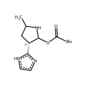 CC1C[C@@H](c2ncc[nH]2)C(OC(=O)C(C)(C)C)N1